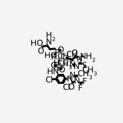 CP(=O)(O)CCC(N)C(=O)O.CSc1nnc(C(C)(C)C)c(=O)n1N.Cc1nn(-c2cc(NS(C)(=O)=O)c(Cl)cc2Cl)c(=O)n1C(F)F